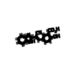 N#C/C(=C\c1ccc(O)c(C(=O)O)c1)c1nc2ccccc2[nH]1